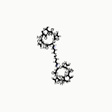 CC1SC[C@H]2NC(=O)[C@@H](C(C)C)NC(=O)C[C@H](/C=C/CCSSCC/C=C/[C@H]3CC(=O)N[C@H](C(C)C)C(=O)N[C@@H]4CSC(C)C(NC4=O)C(=O)N[C@@H](C(C)C)C(=O)O3)OC(=O)[C@H](C(C)C)NC(=O)C1NC2=O